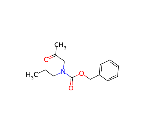 CCCN(CC(C)=O)C(=O)OCc1ccccc1